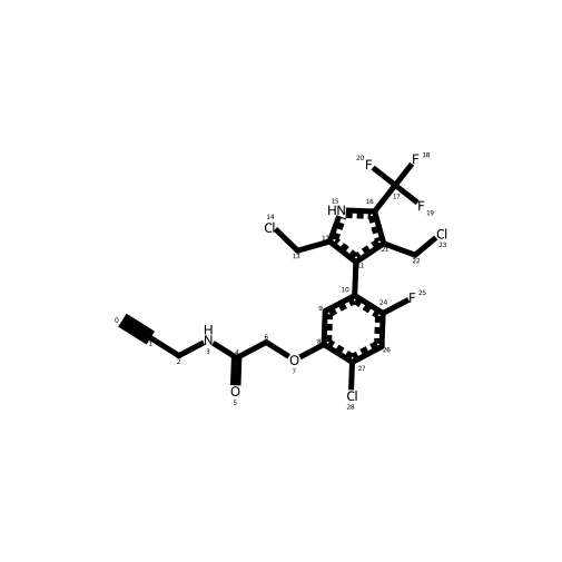 C#CCNC(=O)COc1cc(-c2c(CCl)[nH]c(C(F)(F)F)c2CCl)c(F)cc1Cl